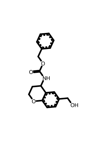 O=C(NC1CCOc2ccc(CO)cc21)OCc1ccccc1